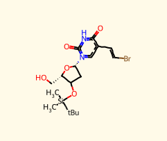 CC(C)(C)[Si](C)(C)OC1C[C@@H](n2cc(/C=C/Br)c(=O)[nH]c2=O)O[C@H]1CO